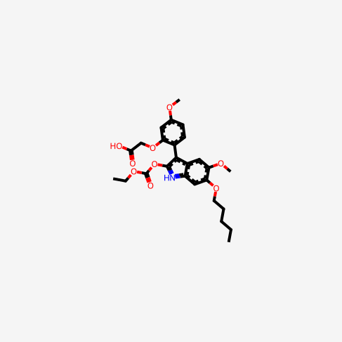 CCCCCOc1cc2[nH]c(OC(=O)OCC)c(-c3ccc(OC)cc3OCC(=O)O)c2cc1OC